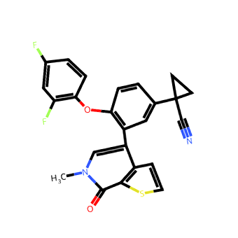 Cn1cc(-c2cc(C3(C#N)CC3)ccc2Oc2ccc(F)cc2F)c2ccsc2c1=O